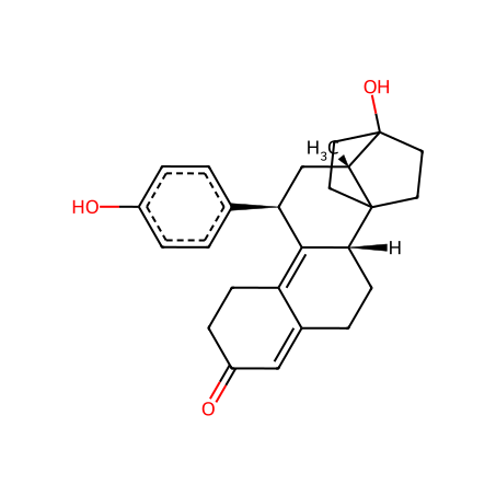 C[C@]12C[C@H](c3ccc(O)cc3)C3=C4CCC(=O)C=C4CC[C@H]3C13CCC2(O)CC3